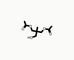 CC(=O)OCC(C)(CO)COC(C)=O